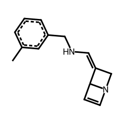 Cc1cccc(CN/C=C2/CN3C=CC23)c1